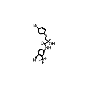 CC(O)(CSc1ccc(Br)cc1)C(=O)Nc1ccc(C#N)c(C(F)(F)F)c1